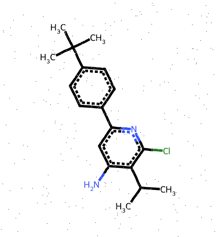 CC(C)c1c(N)cc(-c2ccc(C(C)(C)C)cc2)nc1Cl